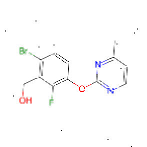 Cc1ccnc(Oc2ccc(Br)c(CO)c2F)n1